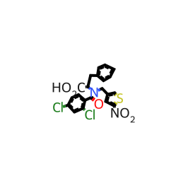 O=C(O)C(Cc1ccccc1)N(Cc1csc([N+](=O)[O-])c1)C(=O)c1ccc(Cl)cc1Cl